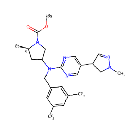 CC[C@@H]1CC(N(Cc2cc(C(F)(F)F)cc(C(F)(F)F)c2)c2ncc(C3C=NN(C)C3)cn2)CN1C(=O)OC(C)(C)C